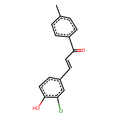 Cc1ccc(C(=O)/C=C/c2ccc(O)c(Cl)c2)cc1